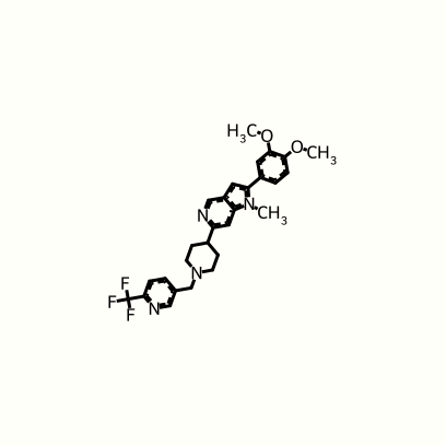 COc1ccc(-c2cc3cnc(C4CCN(Cc5ccc(C(F)(F)F)nc5)CC4)cc3n2C)cc1OC